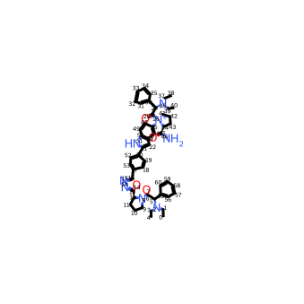 CCN(CC)[C@@H](C(=O)N1CCC[C@H]1c1nnc(-c2ccc(-c3cc4cc([N+]5(C(=O)[C@@H](c6ccccc6)N(CC)CC)CCC[C@H]5C(N)=O)ccc4[nH]3)cc2)o1)c1ccccc1